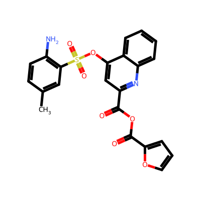 Cc1ccc(N)c(S(=O)(=O)Oc2cc(C(=O)OC(=O)c3ccco3)nc3ccccc23)c1